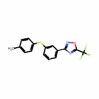 Cc1ccc(Sc2[c]ccc(-c3noc(C(F)(F)F)n3)c2)cc1